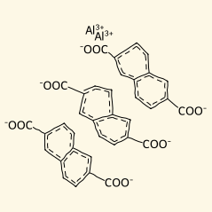 O=C([O-])c1ccc2cc(C(=O)[O-])ccc2c1.O=C([O-])c1ccc2cc(C(=O)[O-])ccc2c1.O=C([O-])c1ccc2cc(C(=O)[O-])ccc2c1.[Al+3].[Al+3]